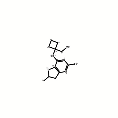 CC1Cc2nc(Cl)nc(NC3(CO)CCC3)c2S1